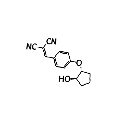 N#CC(C#N)=Cc1ccc(O[C@@H]2CCC[C@H]2O)cc1